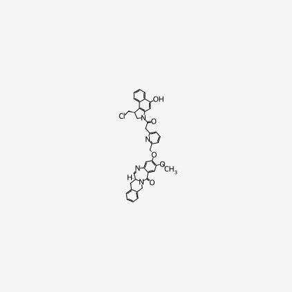 COc1cc2c(cc1OCc1cccc(CC(=O)N3C[C@@H](CCl)c4c3cc(O)c3ccccc43)n1)N=C[C@@H]1Cc3ccccc3CN1C2=O